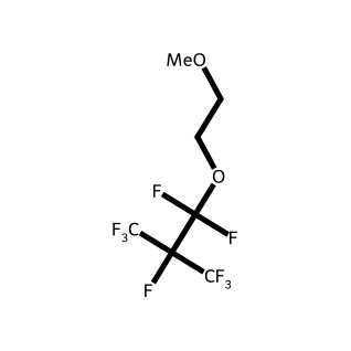 COCCOC(F)(F)C(F)(C(F)(F)F)C(F)(F)F